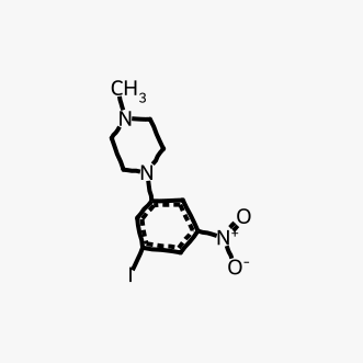 CN1CCN(c2cc(I)cc([N+](=O)[O-])c2)CC1